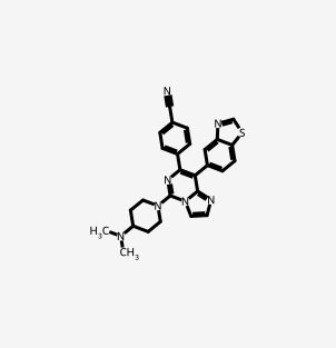 CN(C)C1CCN(c2nc(-c3ccc(C#N)cc3)c(-c3ccc4scnc4c3)c3nccn23)CC1